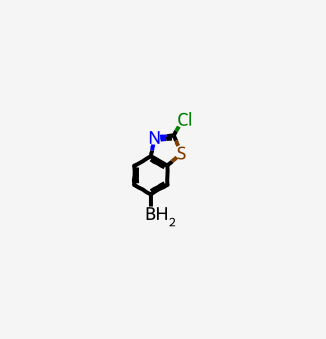 Bc1ccc2nc(Cl)sc2c1